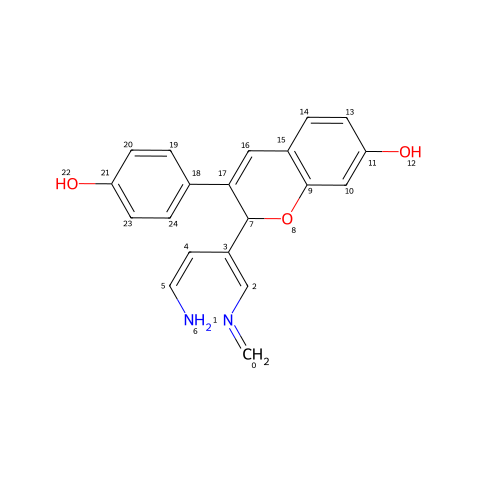 C=N/C=C(\C=C/N)C1Oc2cc(O)ccc2C=C1c1ccc(O)cc1